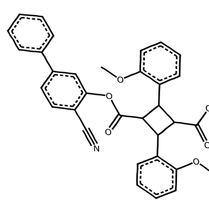 COc1ccccc1C1C(C(=O)O)C(c2ccccc2OC)C1C(=O)Oc1cc(-c2ccccc2)ccc1C#N